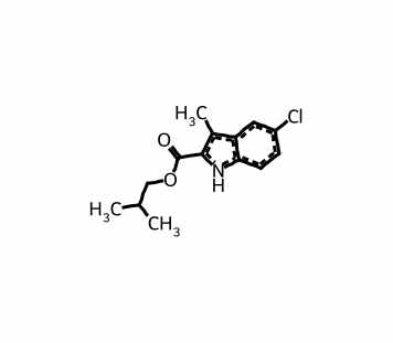 Cc1c(C(=O)OCC(C)C)[nH]c2ccc(Cl)cc12